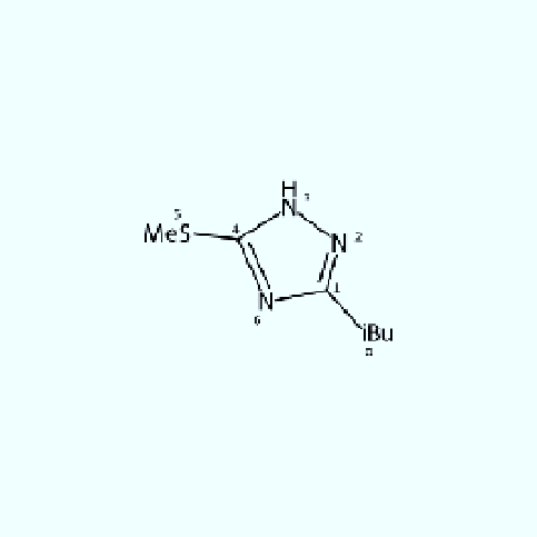 CCC(C)c1n[nH]c(SC)n1